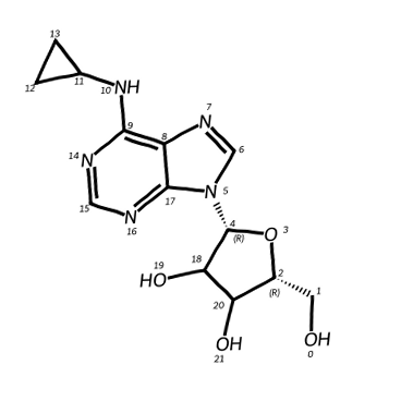 OC[C@H]1O[C@@H](n2cnc3c(NC4CC4)ncnc32)C(O)C1O